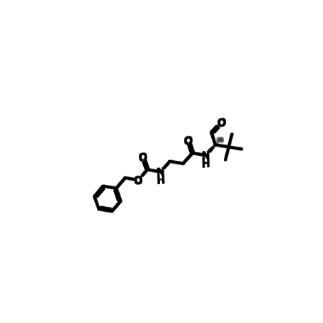 CC(C)(C)[C@H](C=O)NC(=O)CCNC(=O)OCc1ccccc1